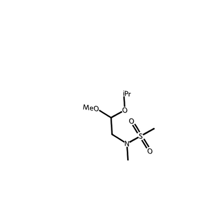 COC(CN(C)S(C)(=O)=O)OC(C)C